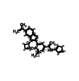 C=CN(C)/C(=N\C(=C/C)C(=C)NC1=CCN=C1)c1nc2ccc(C(=C)C)cc2n1C1CCC1